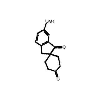 COc1ccc2c(c1)C(=O)C1(CCC(=O)CC1)C2